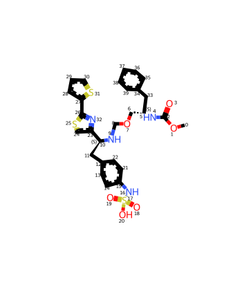 COC(=O)N[C@H](COCN[C@@H](Cc1ccc(NS(=O)(=O)O)cc1)c1csc(-c2cccs2)n1)Cc1ccccc1